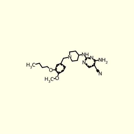 CCCCOc1cc(CN2CCC(Nc3ncc(C#N)c(N)n3)CC2)ccc1OC